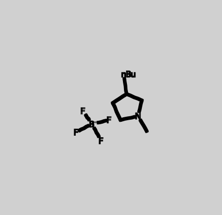 CCCCC1CCN(C)C1.F[B-](F)(F)F